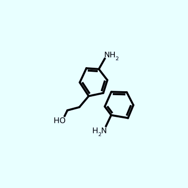 Nc1ccc(CCO)cc1.Nc1ccccc1